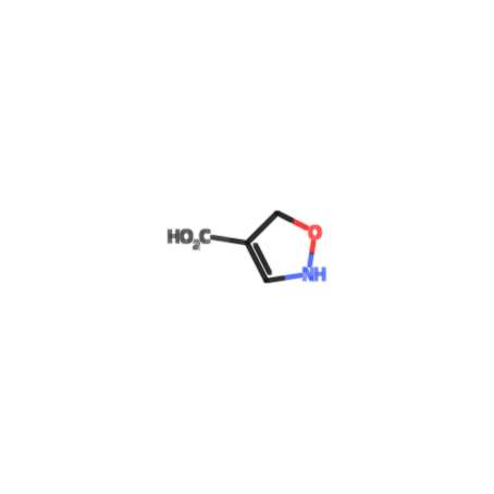 O=C(O)C1=CNOC1